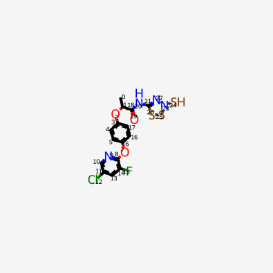 CC(Oc1ccc(Oc2ncc(Cl)cc2F)cc1)C(=O)NC1=NN(S)SS1